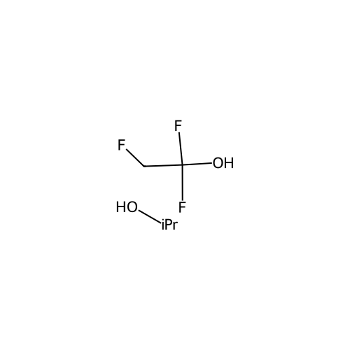 CC(C)O.OC(F)(F)CF